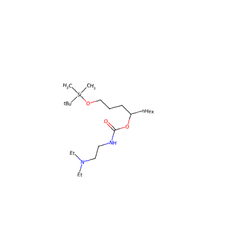 CCCCCCC(CCCO[Si](C)(C)C(C)(C)C)OC(=O)NCCN(CC)CC